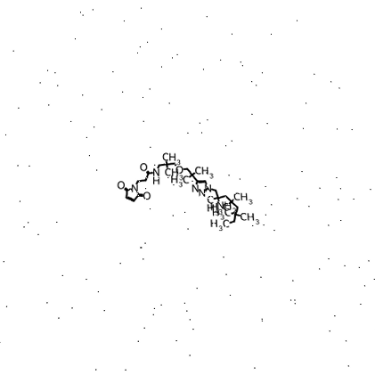 CCC(C)(C)CC(C)(C)CC(C)(N)Cn1cc(C(C)(C)COCC(C)(C)CNC(=O)CCN2C(=O)C=CC2=O)nn1